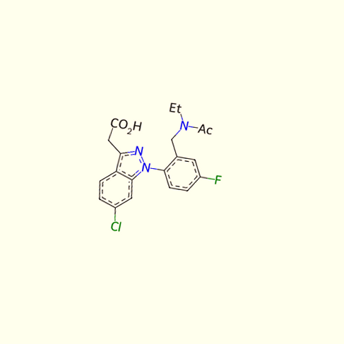 CCN(Cc1cc(F)ccc1-n1nc(CC(=O)O)c2ccc(Cl)cc21)C(C)=O